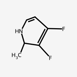 CC1NC=CC(F)=C1F